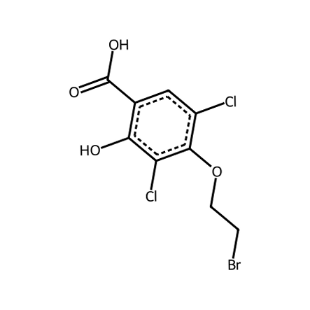 O=C(O)c1cc(Cl)c(OCCBr)c(Cl)c1O